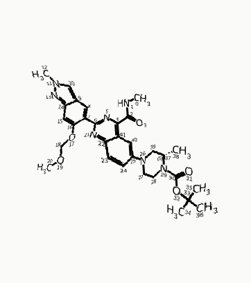 CNC(=O)c1nc(-c2cc3cn(C)nc3cc2OCOC)nc2ccc(N3CCN(C(=O)OC(C)(C)C)[C@@H](C)C3)cc12